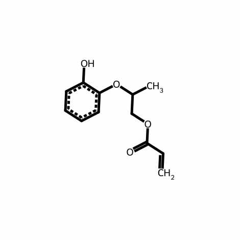 C=CC(=O)OCC(C)Oc1ccccc1O